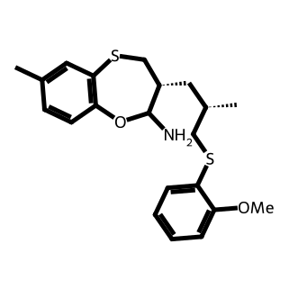 COc1ccccc1SC[C@@H](C)C[C@H]1CSc2cc(C)ccc2OC1N